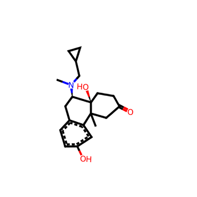 CN(CC1CC1)[C@@H]1Cc2ccc(O)cc2C2(C)CC(=O)CC[C@@]12O